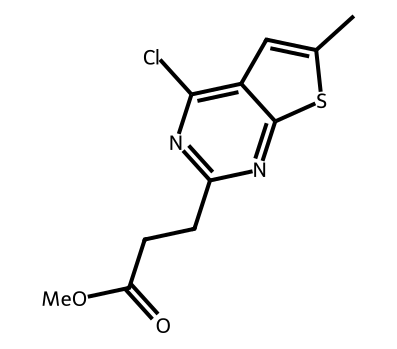 COC(=O)CCc1nc(Cl)c2cc(C)sc2n1